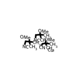 [C-]#[N+]CC(C)(C)OC.[C-]#[N+]CC(C)(C)OC.[C-]#[N+]CC(C)(C)OC.[Cu]